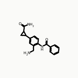 NCc1cc(C2CC2C(N)=O)ccc1NC(=O)c1ccccc1